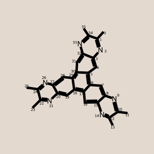 Cc1nc2cc3c4cc5nc(C)c(C)nc5cc4c4cc5nc(C)c(C)nc5cc4c3cc2nc1C